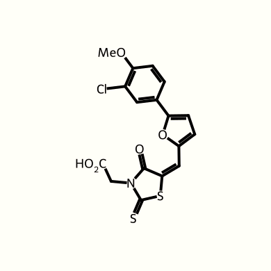 COc1ccc(-c2ccc(C=C3SC(=S)N(CC(=O)O)C3=O)o2)cc1Cl